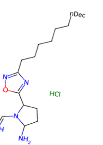 CCCCCCCCCCCCCCCCc1noc(C2CCC(N)N2C=N)n1.Cl